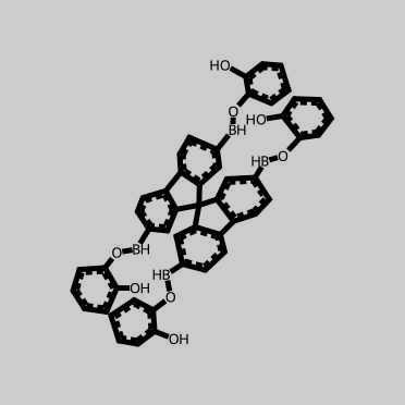 Oc1ccccc1OBc1ccc2c(c1)C1(c3cc(BOc4ccccc4O)ccc3-2)c2cc(BOc3ccccc3O)ccc2-c2ccc(BOc3ccccc3O)cc21